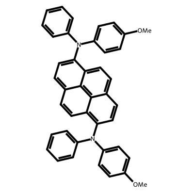 COc1ccc(N(c2ccccc2)c2ccc3ccc4c(N(c5ccccc5)c5ccc(OC)cc5)ccc5ccc2c3c54)cc1